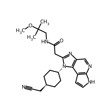 COC(C)(C)CNC(=O)Cc1nc2cnc3[nH]ccc3c2n1[C@H]1CC[C@H](CC#N)CC1